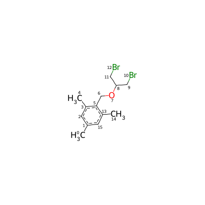 Cc1cc(C)c(COC(CBr)CBr)c(C)c1